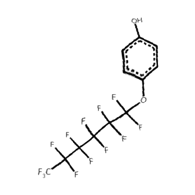 Oc1ccc(OC(F)(F)C(F)(F)C(F)(F)C(F)(F)C(F)(F)C(F)(F)F)cc1